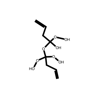 C=CCC(O)(OO)OC(CC=C)(OO)OO